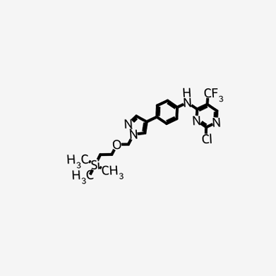 C[Si](C)(C)CCOCn1cc(-c2ccc(Nc3nc(Cl)ncc3C(F)(F)F)cc2)cn1